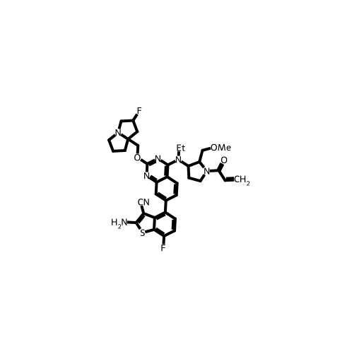 C=CC(=O)N1CCC(N(CC)c2nc(OCC34CCCN3CC(F)C4)nc3cc(-c4ccc(F)c5sc(N)c(C#N)c45)ccc23)C1COC